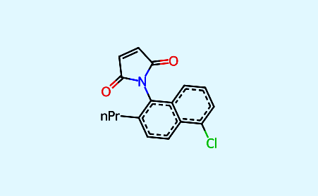 CCCc1ccc2c(Cl)cccc2c1N1C(=O)C=CC1=O